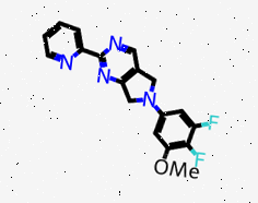 COc1cc(N2Cc3cnc(-c4ccccn4)nc3C2)cc(F)c1F